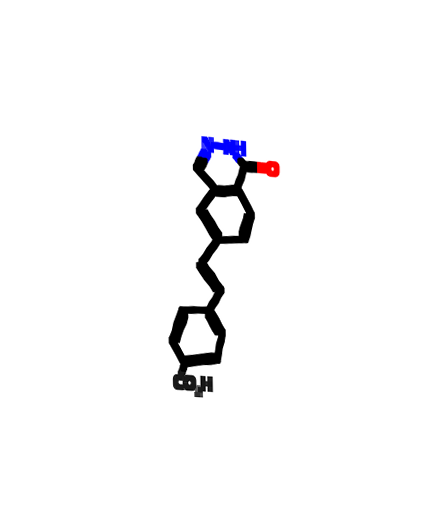 O=C(O)c1ccc(/C=C/c2ccc3c(=O)[nH]ncc3c2)cc1